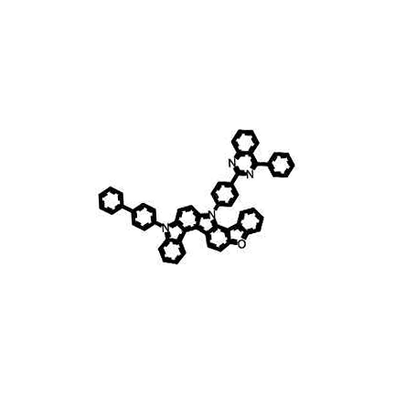 c1ccc(-c2ccc(-n3c4ccccc4c4c5c6ccc7oc8ccccc8c7c6n(-c6ccc(-c7nc(-c8ccccc8)c8ccccc8n7)cc6)c5ccc43)cc2)cc1